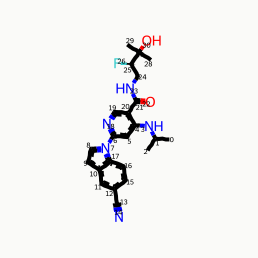 CC(C)Nc1cc(-n2ccc3cc(C#N)ccc32)ncc1C(=O)NC[C@@H](F)C(C)(C)O